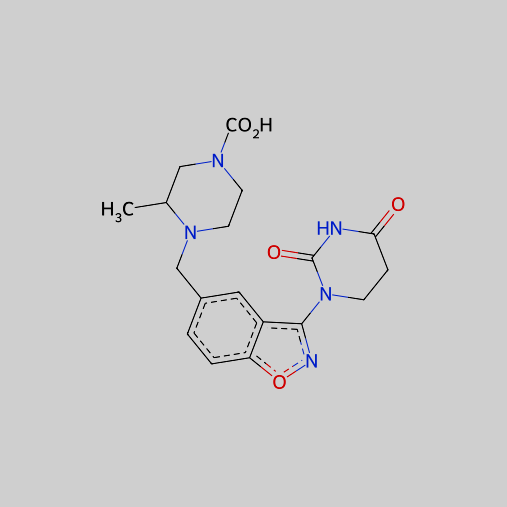 CC1CN(C(=O)O)CCN1Cc1ccc2onc(N3CCC(=O)NC3=O)c2c1